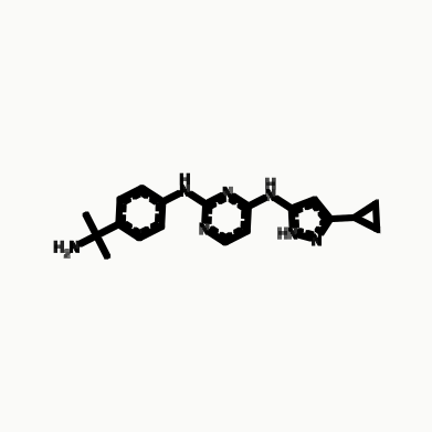 CC(C)(N)c1ccc(Nc2nccc(Nc3cc(C4CC4)n[nH]3)n2)cc1